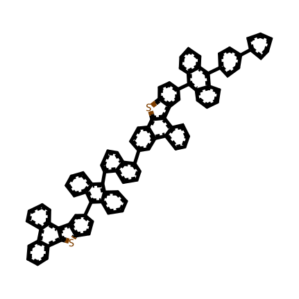 c1ccc(-c2ccc(-c3c4ccccc4c(-c4ccc5sc6c7ccc(-c8cccc9c(-c%10c%11ccccc%11c(-c%11ccc%12sc%13c%14ccccc%14c%14ccccc%14c%13c%12c%11)c%11ccccc%10%11)cccc89)cc7c7ccccc7c6c5c4)c4ccccc34)cc2)cc1